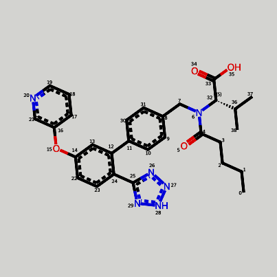 CCCCC(=O)N(Cc1ccc(-c2cc(Oc3cccnc3)ccc2-c2nn[nH]n2)cc1)[C@H](C(=O)O)C(C)C